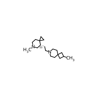 CC1CC2(CCN(CC[C@@H]3CN(C)CCC34CC4)CC2)C1